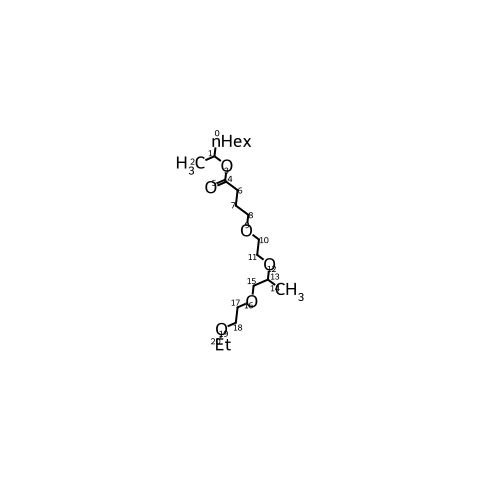 CCCCCCC(C)OC(=O)CCCOCCOC(C)COCCOCC